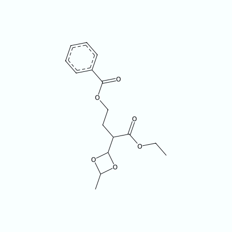 CCOC(=O)C(CCOC(=O)c1ccccc1)C1OC(C)O1